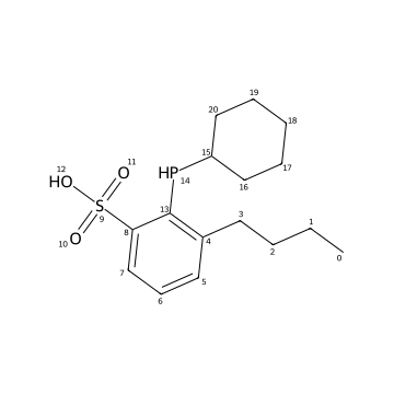 CCCCc1cccc(S(=O)(=O)O)c1PC1CCCCC1